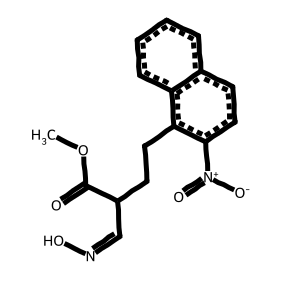 COC(=O)C(/C=N\O)CCc1c([N+](=O)[O-])ccc2ccccc12